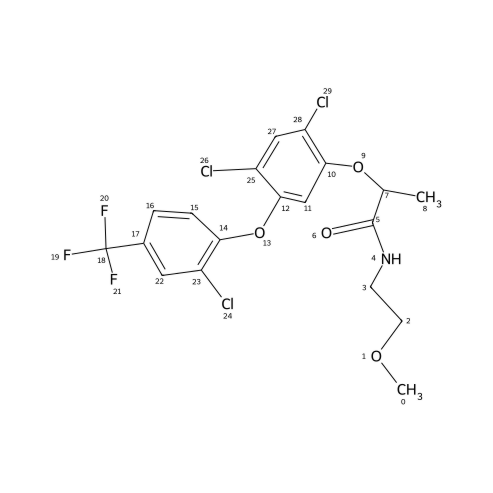 COCCNC(=O)C(C)Oc1cc(Oc2ccc(C(F)(F)F)cc2Cl)c(Cl)cc1Cl